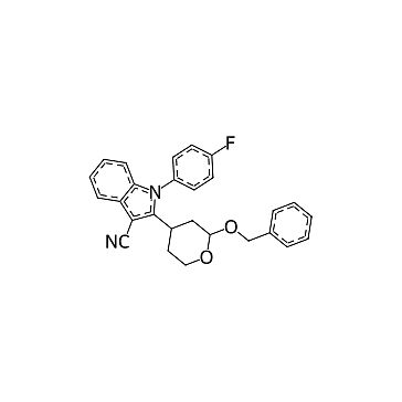 N#Cc1c(C2CCOC(OCc3ccccc3)C2)n(-c2ccc(F)cc2)c2ccccc12